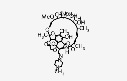 CO[C@H]1/C=C/O[C@@]2(C)Oc3c(C)c(O)c4c(c3C2=O)C2(OCC(=O)O2)C(/C=N/N2CCN(C)CC2)=C(NC(=O)/C(C)=C/C=C/[C@H](C)[C@H](O)[C@@H](C)[C@@H](O)[C@@H](C)[C@H](OC(C)=O)[C@@H]1C)C4=O